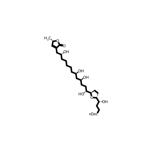 CCCCCCCCCCCC[C@@H](O)[C@H]1CC[C@H]([C@H](O)CC[C@H](O)C[C@H](O)CCCCC[C@@H](O)CC2=C[C@H](C)OC2=O)O1